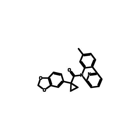 Cc1ccc2c(c1)N(C(=O)C1(c3ccc4c(c3)OCO4)CC1)c1cccc-2n1